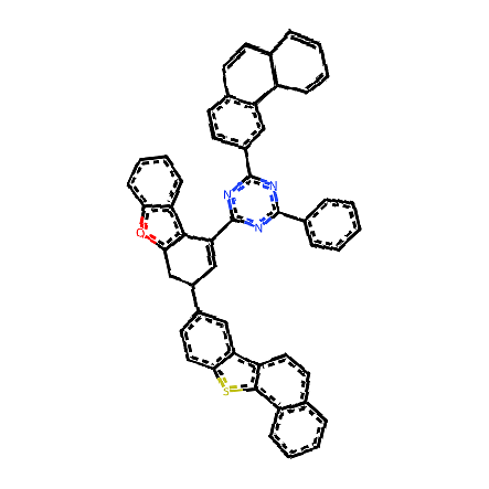 C1=CC2C=Cc3ccc(-c4nc(C5=CC(c6ccc7sc8c9ccccc9ccc8c7c6)Cc6oc7ccccc7c65)nc(-c5ccccc5)n4)cc3C2C=C1